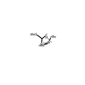 CCC[CH2][Bi+][CH2]CCC.CSC(C)C(=O)[O-]